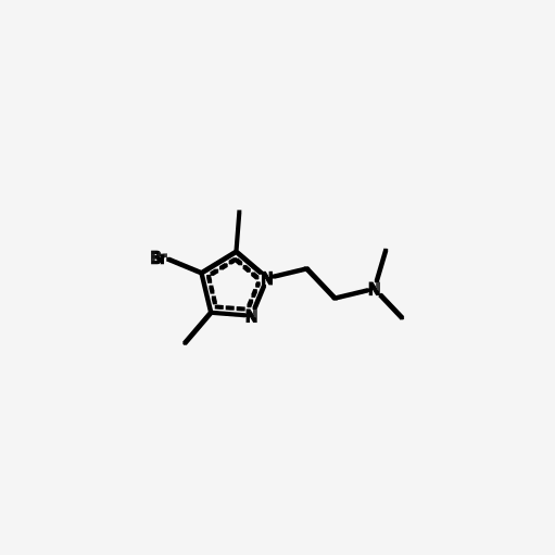 Cc1nn(CCN(C)C)c(C)c1Br